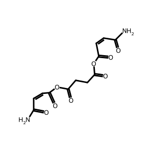 NC(=O)/C=C\C(=O)OC(=O)CCC(=O)OC(=O)/C=C\C(N)=O